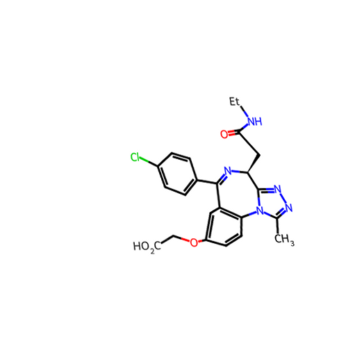 CCNC(=O)C[C@@H]1N=C(c2ccc(Cl)cc2)c2cc(OCC(=O)O)ccc2-n2c(C)nnc21